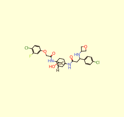 O=C(CC(NC1COC1)c1ccc(Cl)cc1)NC12CCC(NC(=O)COc3ccc(Cl)c(F)c3)(CC1)[C@@H](O)C2